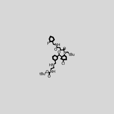 CC(C)(C)CN1C(=O)C(CC(=O)NCc2ccccc2F)OC(c2cccc(CNCCNC(=O)OC(C)(C)C)c2)c2cc(Cl)ccc21